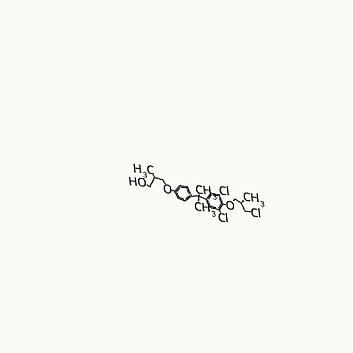 C[C@H](CO)COc1ccc(C(C)(C)c2cc(Cl)c(OC[C@@H](C)CCl)c(Cl)c2)cc1